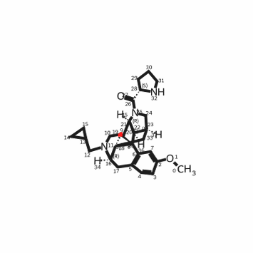 COc1ccc2c(c1)[C@]13CCN(CC4CC4)[C@H](C2)[C@]12CC[C@@H]1[C@H]3[C@@H](CN1C(=O)[C@@H]1CCCN1)C2